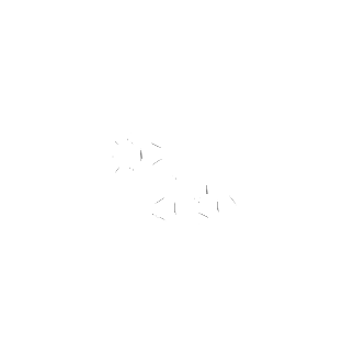 CCN1C(=O)C(C)(C)C(=O)N(C)c2cc(CN(CCn3ccc4oc(C)cc4c3=O)Cc3cncc(C(F)(F)F)c3)ccc21